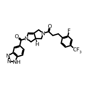 O=C(c1ccc2[nH]nnc2c1)N1C=C2CN(C(=O)CCc3ccc(C(F)(F)F)cc3F)C[C@@H]2C1